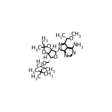 CO[C@@H](C)c1nn([C@@H]2O[C@H](CO[Si](C)(C)C(C)(C)C)[C@H]3OC(C)(C)O[C@H]32)c2ncnc(N)c12